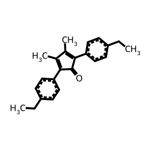 CCc1ccc(C2=C(C)C(C)=C(c3ccc(CC)cc3)C2=O)cc1